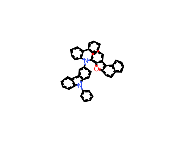 c1ccc(-c2ccccc2N(c2ccc3c(c2)c2ccccc2n3-c2ccccc2)c2cccc3c2oc2ccc4ccccc4c23)cc1